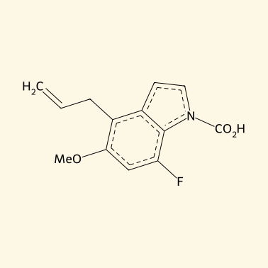 C=CCc1c(OC)cc(F)c2c1ccn2C(=O)O